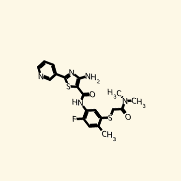 Cc1cc(F)c(NC(=O)c2sc(-c3cccnc3)nc2N)cc1SCC(=O)N(C)C